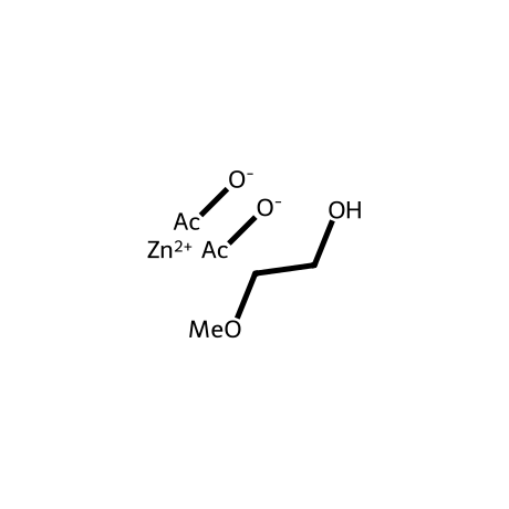 CC(=O)[O-].CC(=O)[O-].COCCO.[Zn+2]